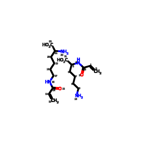 C=CC(=O)NC(CCCCN)C(=O)O.C=CC(=O)NCCCCC(N)C(=O)O